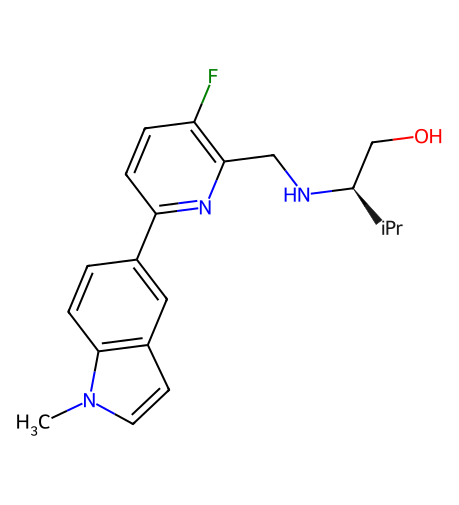 CC(C)[C@H](CO)NCc1nc(-c2ccc3c(ccn3C)c2)ccc1F